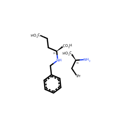 CC(C)C[C@H](N)C(=O)O.O=C(O)CC[C@H](NCc1ccccc1)C(=O)O